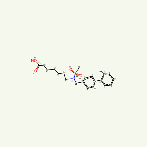 Cc1ccccc1-c1ccc(CN(CCCCCCC(=O)O)S(C)(=O)=O)cc1